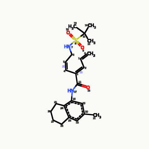 C=C/C=C(\C=C/CNS(=O)(=O)C(C)(C)C)C(=O)Nc1cc(C)cc2c1CCCC2